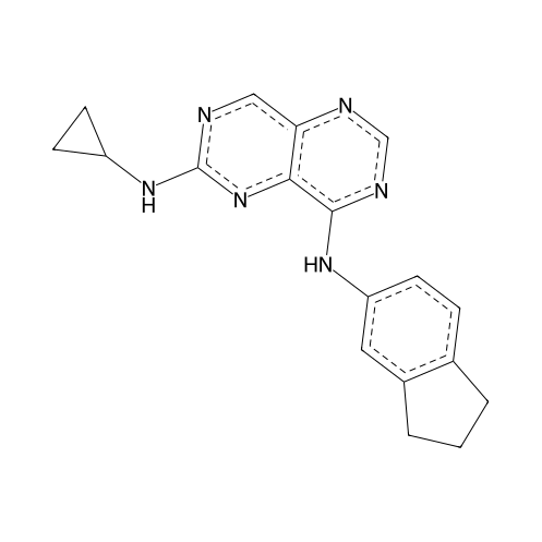 c1nc(Nc2ccc3c(c2)CCC3)c2nc(NC3CC3)ncc2n1